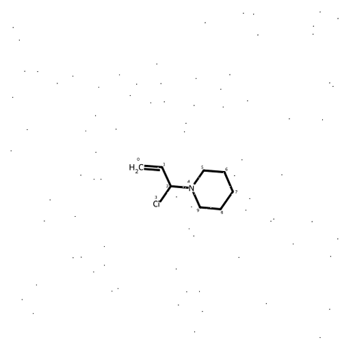 C=CC(Cl)N1CCCCC1